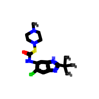 CN1CCN(SC(=O)Nc2cc3[nH]c(C(C)(C)C)nc3cc2Cl)CC1